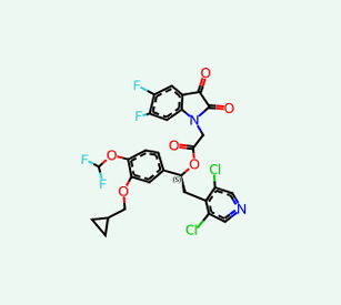 O=C(CN1C(=O)C(=O)c2cc(F)c(F)cc21)O[C@@H](Cc1c(Cl)cncc1Cl)c1ccc(OC(F)F)c(OCC2CC2)c1